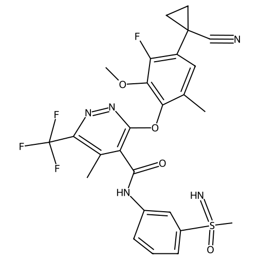 COc1c(F)c(C2(C#N)CC2)cc(C)c1Oc1nnc(C(F)(F)F)c(C)c1C(=O)Nc1cccc(S(C)(=N)=O)c1